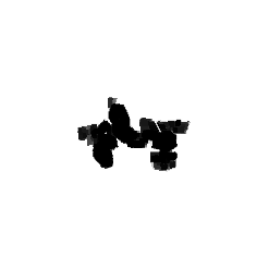 COc1ccc(-n2cnnn2)cc1C(=O)N1CCC(CCN2CCC(NC=O)(c3ccccc3)CC2)(c2ccc(F)cc2)C1